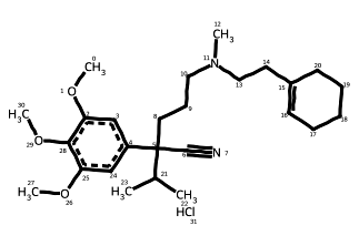 COc1cc(C(C#N)(CCCN(C)CCC2=CCCCC2)C(C)C)cc(OC)c1OC.Cl